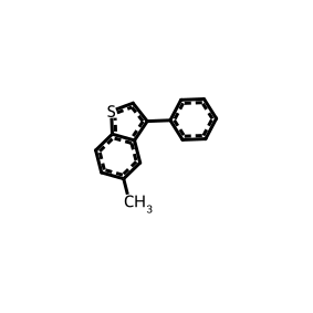 Cc1ccc2scc(-c3ccccc3)c2c1